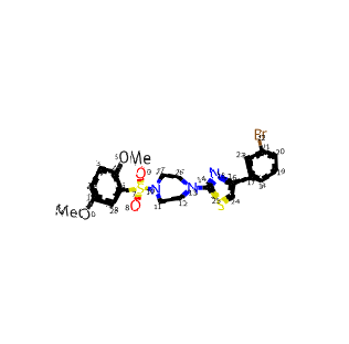 COc1ccc(OC)c(S(=O)(=O)N2CCN(c3nc(-c4cccc(Br)c4)cs3)CC2)c1